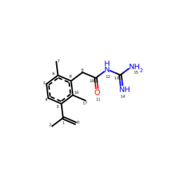 C=C(C)c1ccc(C)c(CC(=O)NC(=N)N)c1C